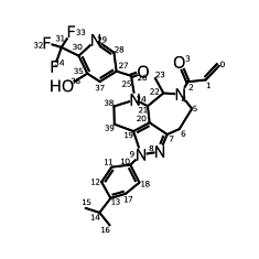 C=CC(=O)N1CCc2nn(-c3ccc(C(C)C)cc3)c3c2C(C1C)N(C(=O)c1cnc(C(F)(F)F)c(O)c1)CC3